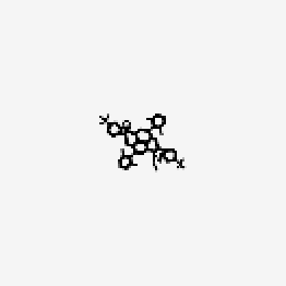 CCn1c2cc(C(C)(C)C)ccc2c2cc3c(-c4c(C)cccc4C)cc4c5oc6cc(C(C)(C)C)ccc6c5cc5c(-c6c(C)cccc6C)cc(c3c54)c21